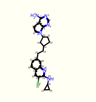 Nc1ncnc2c1ccn2C1CCC(CCc2ccc3cc(Br)c(NC4CC4)nc3c2)C1